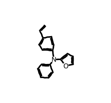 C=Cc1ccc(N(c2ccccc2)c2ccco2)cc1